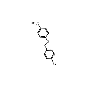 O=C(O)c1ccc(OCc2ccc(Cl)nc2)cc1